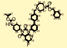 C=C(C)OC(=O)N[C@H]1CC[C@@H](n2c(=O)c3cc(F)cnc3n(-c3cccc(-c4ccc(CN5CCCN(C(=O)OCc6ccccc6)CC5)cc4)c3)c2=O)CC1